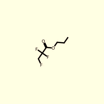 CCCOC(=O)C(F)(F)CF